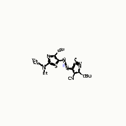 [C-]#[N+]c1c(C(C)(C)C)nsc1/N=N/c1sc(N(CC)CC)nc1C(C)(C)C